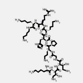 N=C(N)NCC/C=C(\NC(=O)[C@H](CCCCN)NC(=O)[C@H](Cc1cnc[nH]1)NC(=O)[C@@H]1CCCN1C(=O)[C@@H](CCCN)NC(=O)CNC(=O)[C@@H](NC(=O)[C@@H](NC(=O)[C@@H](N)CCCCN)[C@@H](O)CN)[C@@H](O)CN)C(=O)N[C@@H](CCCCN)C(=O)NCCCCN